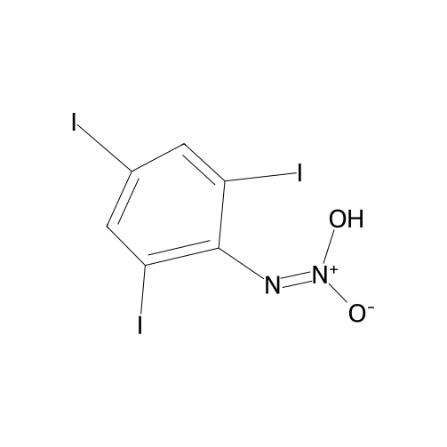 [O-]/[N+](O)=N/c1c(I)cc(I)cc1I